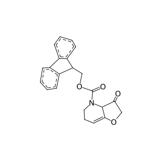 O=C1COC2=CCCN(C(=O)OCC3c4ccccc4-c4ccccc43)C12